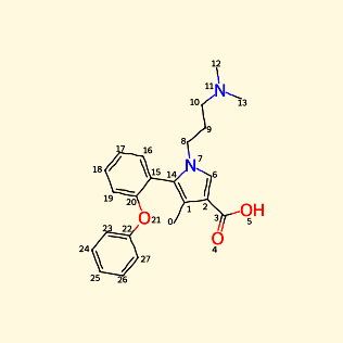 Cc1c(C(=O)O)cn(CCCN(C)C)c1-c1ccccc1Oc1ccccc1